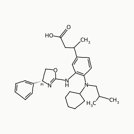 CC(C)CN(c1ccc(C(C)CC(=O)O)cc1NC1=N[C@H](c2ccccc2)CO1)C1CCCCC1